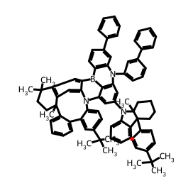 CC(C)(C)c1ccc(C23CCCCC2(C)N(c2cc4c5c(c2)N2c6cc7c(cc6B5c5ccc(-c6ccccc6)cc5N4c4cccc(-c5ccccc5)c4)C(C)(C)CCC7(C)c4ccccc4-c4cc(C(C)(C)C)ccc42)c2ccccc23)cc1